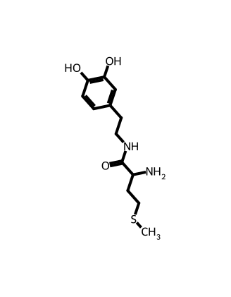 CSCCC(N)C(=O)NCCc1ccc(O)c(O)c1